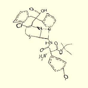 COc1ccc([C@@](N)(C(=O)NC2C(=O)N3C(C(C(=O)O)(c4ccccc4)c4ccccc4)=C(Cl)CSC23)C(=O)OC(C)(C)C)cc1